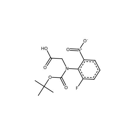 CC(C)(C)OC(=O)N(CC(=O)O)c1c(F)cccc1[N+](=O)[O-]